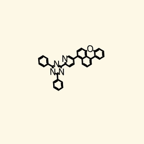 c1ccc(-c2nc(-c3ccccc3)nc(-c3ccc(-c4ccc5c6c(cccc46)-c4ccccc4O5)cn3)n2)cc1